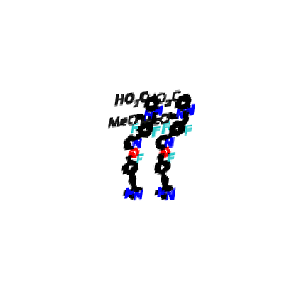 COCCn1c(Cc2cc(F)c(-c3cccc(OCc4ccc(C#Cc5cncn5C)cc4F)n3)cc2F)nc2ccc(C(=O)O)cc21.COCCn1c(Cc2cc(F)c(-c3cccc(OCc4ccc(C#Cc5cncn5C)cc4F)n3)cc2F)nc2ccc(C(=O)O)cc21